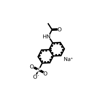 CC(=O)Nc1cccc2cc(S(=O)(=O)[O-])ccc12.[Na+]